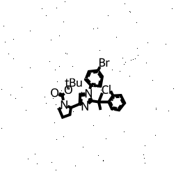 CC(C)(C)OC(=O)N1CCCC1c1cn(-c2ccc(Br)cc2)c(C(C)(C)c2ccccc2Cl)n1